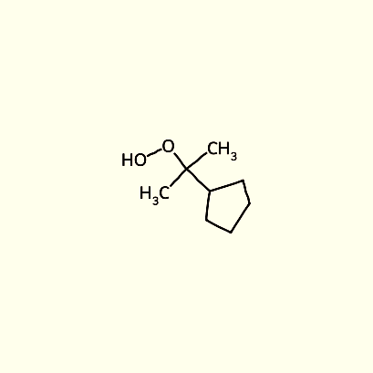 CC(C)(OO)C1CCCC1